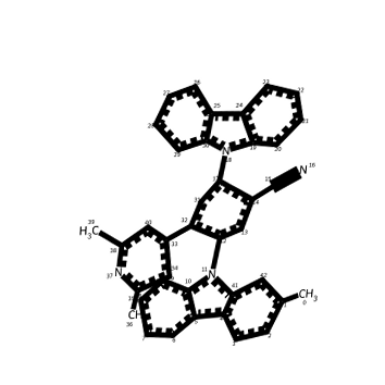 Cc1ccc2c3ccccc3n(-c3cc(C#N)c(-n4c5ccccc5c5ccccc54)cc3-c3cc(C)nc(C)c3)c2c1